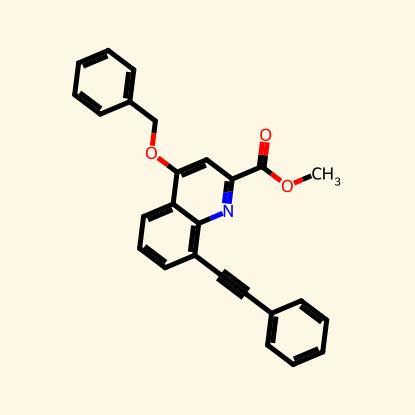 COC(=O)c1cc(OCc2ccccc2)c2cccc(C#Cc3ccccc3)c2n1